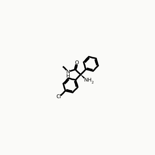 CNC(=O)[C@](N)(c1ccccc1)c1ccc(Cl)cc1